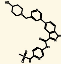 CS(=O)(=O)Nc1ccc(NC(=O)c2n[nH]c3ccc(-c4cncc(CN5CCC(O)CC5)c4)cc23)cn1